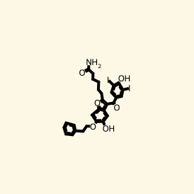 NC(=O)CCCCCc1oc2cc(OCCc3ccccc3)c(O)cc2c1C(=O)c1cc(I)c(O)c(I)c1